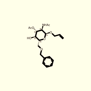 C=CCO[C@H]1O[C@H](COCc2ccccc2)[C@@H](O)[C@H](OC(C)=O)[C@H]1NC(C)=O